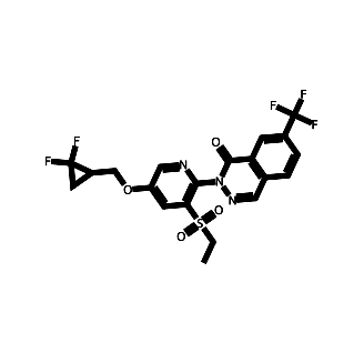 CCS(=O)(=O)c1cc(OCC2CC2(F)F)cnc1-n1ncc2ccc(C(F)(F)F)cc2c1=O